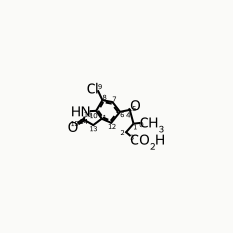 CC(CC(=O)O)C(=O)c1cc(Cl)c2c(c1)CC(=O)N2